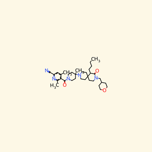 CCCCC1C(=O)N(CC2CCOCC2)CCC12CCN(C1(C)CCN(C(=O)c3c(C)cc(C#N)nc3C)CC1)CC2